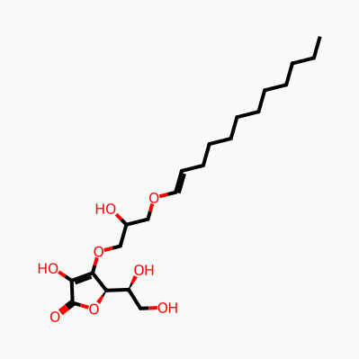 CCCCCCCCCCC=COCC(O)COC1=C(O)C(=O)O[C@@H]1[C@@H](O)CO